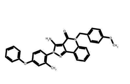 COc1ccc(Cn2c(=O)c3c(N)n(-c4ccc(Oc5ccccc5)cc4C)nc3c3ccccc32)cc1